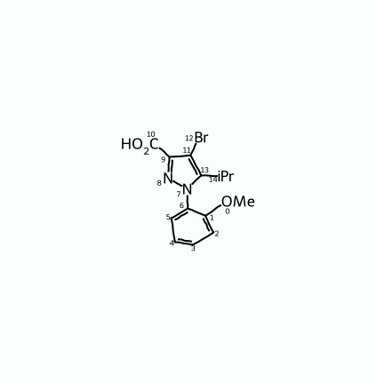 COc1ccccc1-n1nc(C(=O)O)c(Br)c1C(C)C